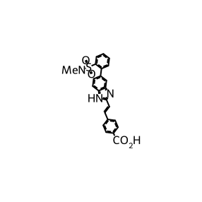 CNS(=O)(=O)c1ccccc1-c1ccc2[nH]c(/C=C/c3ccc(C(=O)O)cc3)nc2c1